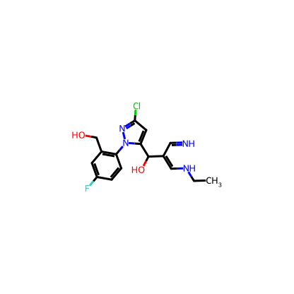 CCN/C=C(\C=N)C(O)c1cc(Cl)nn1-c1ccc(F)cc1CO